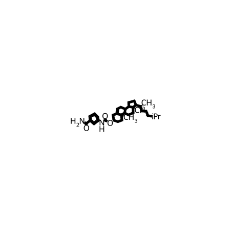 CC(C)CCC[C@H](C)C1CCC2C3CC=C4CC(OC(=O)Nc5cccc(C(N)=O)c5)CCC4(C)C3CCC21C